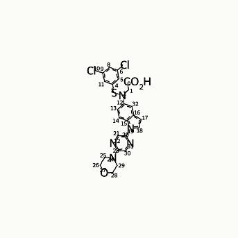 O=C(O)CN(Sc1cc(Cl)cc(Cl)c1)c1ccc2c(ccn2-c2cnc(N3CCOCC3)cn2)c1